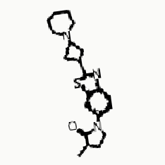 CC1CCN(c2ccc3nc(C4CC(N5CCCCC5)C4)sc3c2)C1=O